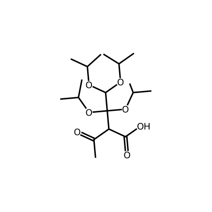 CC(=O)C(C(=O)O)C(OC(C)C)(OC(C)C)C(OC(C)C)OC(C)C